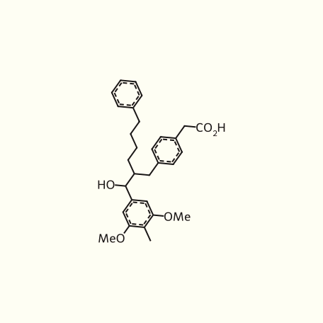 COc1cc(C(O)C(CCCCc2ccccc2)Cc2ccc(CC(=O)O)cc2)cc(OC)c1C